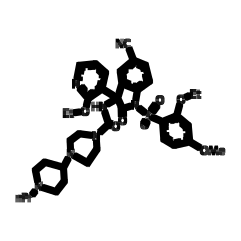 CCCN1CCC(N2CCN(C(=O)NC3(c4cccnc4OCC)C(=O)N(S(=O)(=O)c4ccc(OC)cc4OCC)c4ccc(C#N)cc43)CC2)CC1